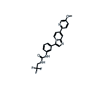 COc1ccc(-c2ccn3c(-c4cccc(NC(=O)NCC(F)(F)F)c4)cnc3c2)nc1